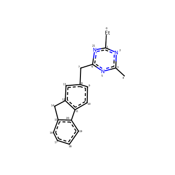 CCc1nc(C)nc(Cc2ccc3c(c2)Cc2ccccc2-3)n1